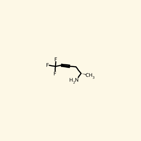 C[C@H](N)CC#CC(F)(F)F